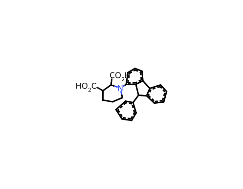 O=C(O)C1CCCN(c2cccc3c2C(c2ccccc2)c2ccccc2-3)C1C(=O)O